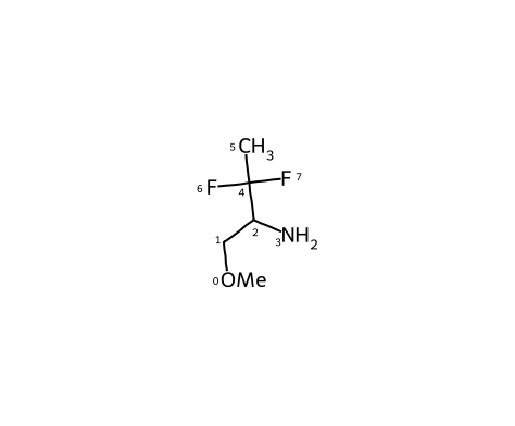 COCC(N)C(C)(F)F